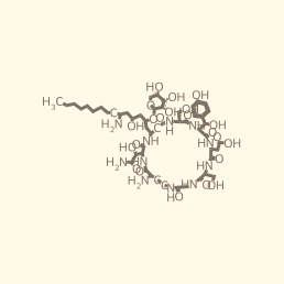 CCCCCCCCCC(N)CC(O)CC(CC1CC(=O)NC(CO)C(=O)NC(C(O)c2ccc(O)cc2)C(=O)NC(CC(=O)O)C(=O)NC(CO)C(=O)NCC(=O)NCCC(N)C(=O)NC(C(O)C(N)=O)C(=O)N1)OC1OC[C@@H](O)[C@H](O)[C@H]1O